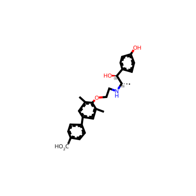 Cc1cc(-c2ccc(C(=O)O)cc2)cc(C)c1OCCN[C@@H](C)[C@@H](O)c1ccc(O)cc1